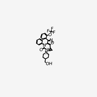 O=C(NN1CCC(CO)CC1)N(c1ccccc1)c1c(-c2ccccc2OC(F)(F)F)noc1C1CC1